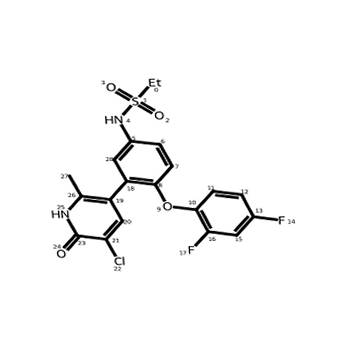 CCS(=O)(=O)Nc1ccc(Oc2ccc(F)cc2F)c(-c2cc(Cl)c(=O)[nH]c2C)c1